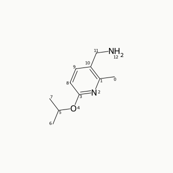 Cc1nc(OC(C)C)ccc1CN